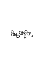 O=C(NCCC(O)c1cccc(CCC2(O)CCCC2)c1)C(F)(F)F